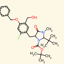 CN1C(=O)C(Cc2cc(CO)c(OCc3ccccc3)cc2F)N(C(=O)OC(C)(C)C)C1C(C)(C)C